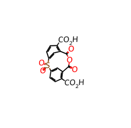 O=C(O)c1ccc2cc1C(=O)OC(=O)c1cc(ccc1C(=O)O)S2(=O)=O